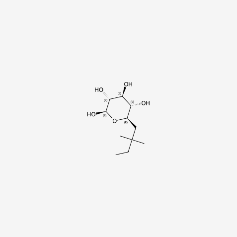 CCC(C)(C)C[C@H]1O[C@@H](O)[C@H](O)[C@@H](O)[C@@H]1O